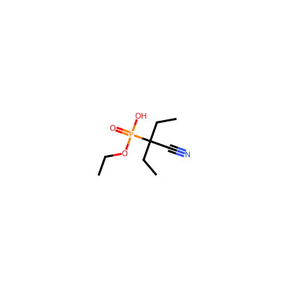 CCOP(=O)(O)C(C#N)(CC)CC